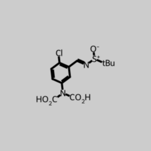 CC(C)(C)[S+]([O-])/N=C/c1cc(N(C(=O)O)C(=O)O)ccc1Cl